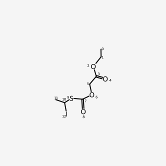 CCOC(=O)COC(=O)SC(C)I